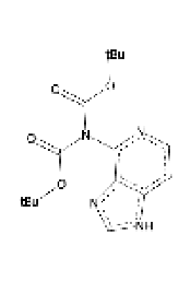 CC(C)(C)OC(=O)N(C(=O)OC(C)(C)C)c1nccc2[nH]cnc12